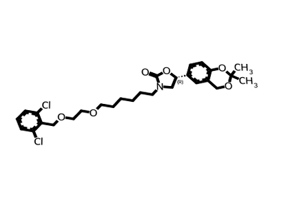 CC1(C)OCc2cc([C@@H]3CN(CCCCCCOCCOCc4c(Cl)cccc4Cl)C(=O)O3)ccc2O1